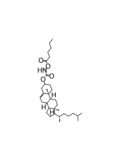 CCCCCC(=O)ONC(=O)O[C@H]1CC[C@@]2(C)C(=CC[C@H]3[C@@H]4CC[C@H]([C@H](C)CCCC(C)C)[C@@]4(C)CC[C@@H]32)C1